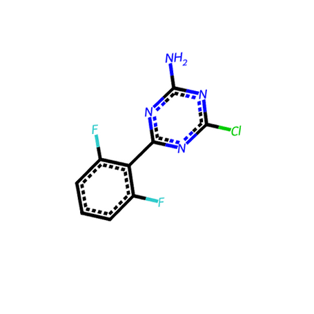 Nc1nc(Cl)nc(-c2c(F)cccc2F)n1